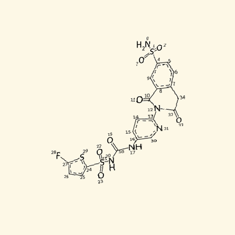 NS(=O)(=O)c1ccc2c(c1)C(=O)N(c1ccc(NC(=O)NS(=O)(=O)c3ccc(F)s3)cn1)C(=O)C2